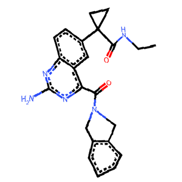 CCNC(=O)C1(c2ccc3nc(N)nc(C(=O)N4Cc5ccccc5C4)c3c2)CC1